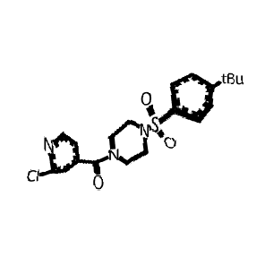 CC(C)(C)c1ccc(S(=O)(=O)N2CCN(C(=O)c3ccnc(Cl)c3)CC2)cc1